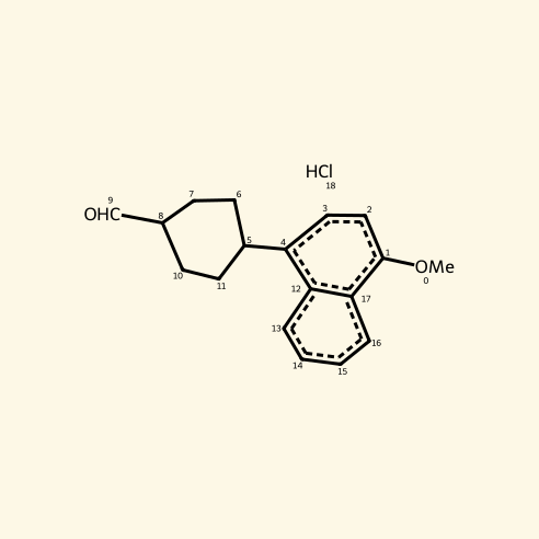 COc1ccc(C2CCC(C=O)CC2)c2ccccc12.Cl